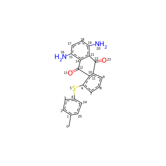 Cc1ccc(Sc2cccc3c2C(=O)c2c(N)ccc(N)c2C3=O)cc1